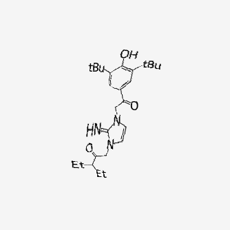 CCC(CC)C(=O)Cn1ccn(CC(=O)c2cc(C(C)(C)C)c(O)c(C(C)(C)C)c2)c1=N